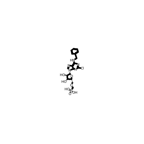 O=P(O)(O)COC[C@H]1O[C@@H](n2cnc3c(NCc4ccccc4)nc(Cl)nc32)[C@H](O)[C@@H]1O